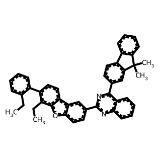 CCc1ccccc1-c1ccc2c(oc3ccc(-c4nc(-c5ccc6c(c5)C(C)(C)c5ccccc5-6)c5ccccc5n4)cc32)c1CC